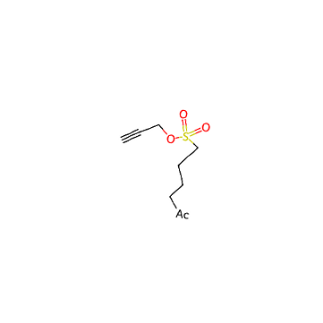 C#CCOS(=O)(=O)CCCCC(C)=O